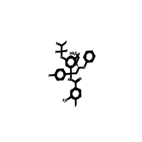 O=C(O)CC[C@@H](CC(NC(=O)c1ccc(F)c(C(F)(F)F)c1)(c1ccc(F)cc1)c1cc(F)cc(OC(F)(F)C(F)F)c1)Oc1ccccc1